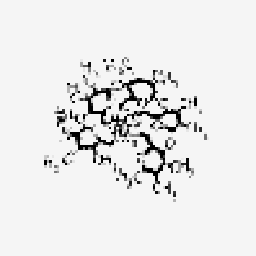 [4H]/P=N\C1[C@H](O[C@@H]2C(CC)O[C@@H](O[C@@H]3C(CC)O[C@@H](O[C@@H]4C(CC)O[C@@H](O[C@@H]5C(CC)O[C@@H](C)C(C)[C@H]5C)C(C)[C@H]4C)C(C)[C@H]3C)C(C)[C@H]2C)OC(CC)[C@@H](C)[C@@H]1C